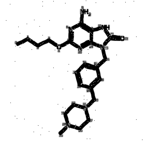 CCCCOc1nc(N)c2[nH]c(=O)n(Cc3cccc(CN4CCN(C)CC4)c3)c2n1